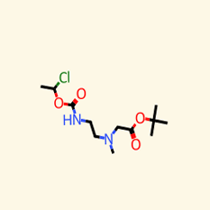 CC(Cl)OC(=O)NCCN(C)CC(=O)OC(C)(C)C